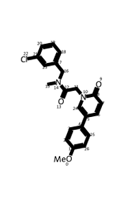 COc1ccc(-c2ccc(=O)n(CC(=O)N(C)Cc3cccc(Cl)c3)c2)cc1